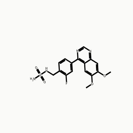 COc1cc2ncnc(-c3ccc(CNS(N)(=O)=O)c(F)c3)c2cc1OC